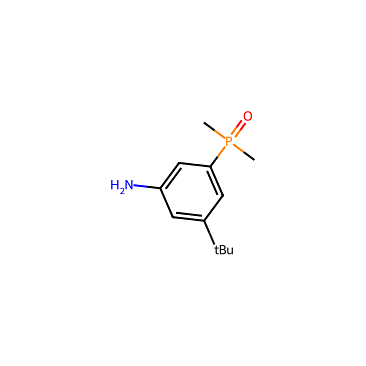 CC(C)(C)c1cc(N)cc(P(C)(C)=O)c1